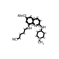 COc1cc(NCCCCC#N)c2nc(NC3CCN(C)CC3)ccc2c1